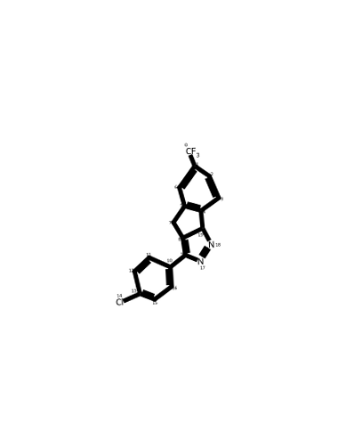 FC(F)(F)c1ccc2c(c1)CC1=C(c3ccc(Cl)cc3)N=NC12